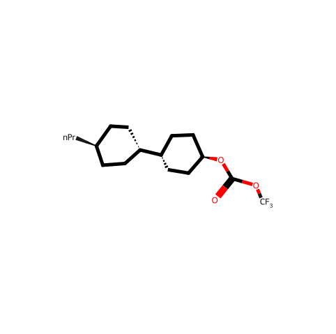 CCC[C@H]1CC[C@H]([C@H]2CC[C@H](OC(=O)OC(F)(F)F)CC2)CC1